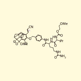 COCCOC(=O)NC(C(=O)NC(CCCNC(N)=O)C(=O)Nc1ccc(COc2c(/C=C/C#N)ccc(C3(OC)OOC34C3CC5CC(C3)C4C5)c2Cl)cc1)C(C)C